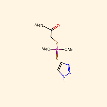 CNC(=O)CSP(=S)(OC)OC.c1c[nH]nn1